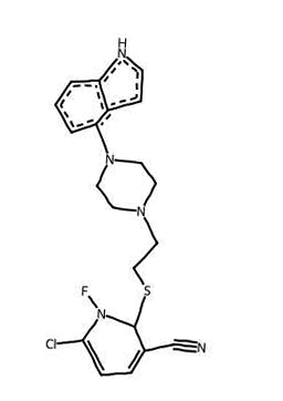 N#CC1=CC=C(Cl)N(F)C1SCCN1CCN(c2cccc3[nH]ccc23)CC1